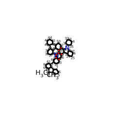 CC1(C)c2ccccc2-c2c(-c3cccc(N(c4ccc5c(c4)c4ccccc4n5-c4ccccc4)c4cccc(-c5ccccc5)c4-c4ccccc4-c4ccccc4)c3)cccc21